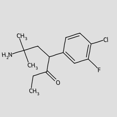 CCC(=O)C(CC(C)(C)N)c1ccc(Cl)c(F)c1